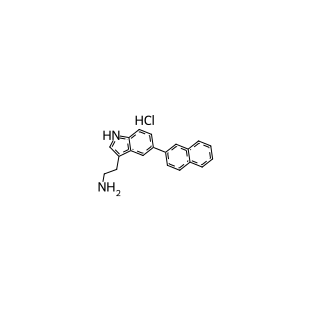 Cl.NCCc1c[nH]c2ccc(-c3ccc4ccccc4c3)cc12